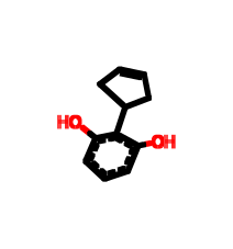 Oc1cccc(O)c1C1CC=CC1